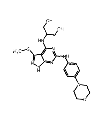 CSc1n[nH]c2nc(Nc3ccc(N4CCOCC4)cc3)nc(NC(CO)CO)c12